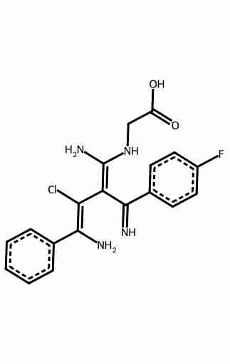 N=C(C(=C(/N)NCC(=O)O)/C(Cl)=C(\N)c1ccccc1)c1ccc(F)cc1